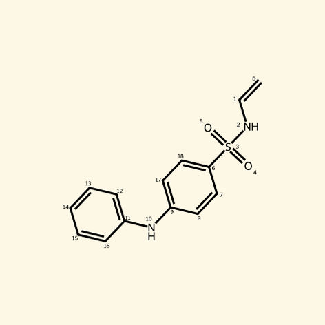 C=CNS(=O)(=O)c1ccc(Nc2ccccc2)cc1